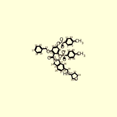 Cc1ccc(S(=O)(=O)Oc2cc(OCc3ccccc3)c(C(=O)N3Cc4ccc(CNC5CCOC5)cc4C3)c(OS(=O)(=O)c3ccc(C)cc3)c2)cc1